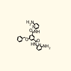 Nc1cccc(NC(=O)c2cc(OCc3ccccc3)cc(C(=O)Nc3cccc(N)n3)c2)n1